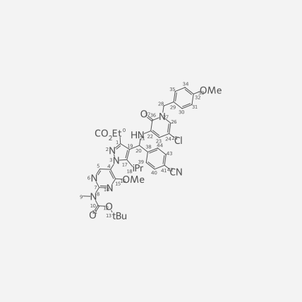 CCOC(=O)c1nn(-c2cnc(N(C)C(=O)OC(C)(C)C)nc2OC)c(C(C)C)c1C(Nc1cc(Cl)cn(Cc2ccc(OC)cc2)c1=O)c1ccc(C#N)cc1